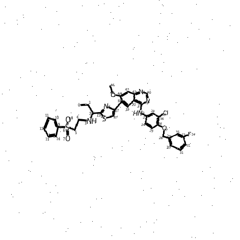 CCC(NCCS(=O)(=O)c1ccccc1)c1nc(-c2cc3c(Nc4ccc(OCc5cccc(F)c5)c(Cl)c4)ncnc3cc2OC)cs1